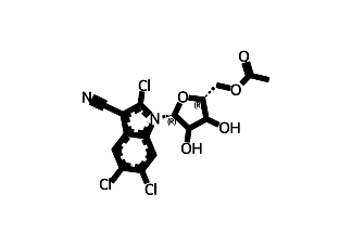 CC(=O)OC[C@H]1O[C@@H](n2c(Cl)c(C#N)c3cc(Cl)c(Cl)cc32)C(O)C1O